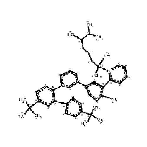 Cc1ccc(-c2cccc(-c3ccc(C(C)(C)C)cc3-c3ccc(C(C)(C)C)cc3)c2)cc1-c1cccc[n+]1C(C)(C)CCCC(C)C(C)C